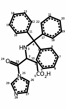 O=C(O)CC(NC(c1ccccc1)(c1ccccc1)c1ccccc1)C(=O)n1ccnc1